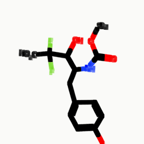 CC(C)(C)OC(=O)NC(Cc1ccc(O)cc1)C(O)C(F)(F)C(=O)O